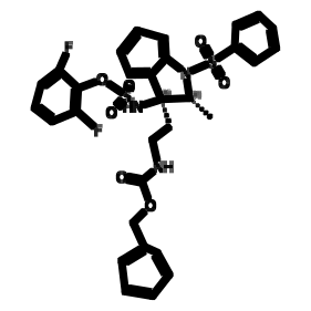 C[C@H]1N(S(=O)(=O)c2ccccc2)c2ccccc2[C@]1(CCNC(=O)OCc1ccccc1)NS(=O)(=O)Oc1c(F)cccc1F